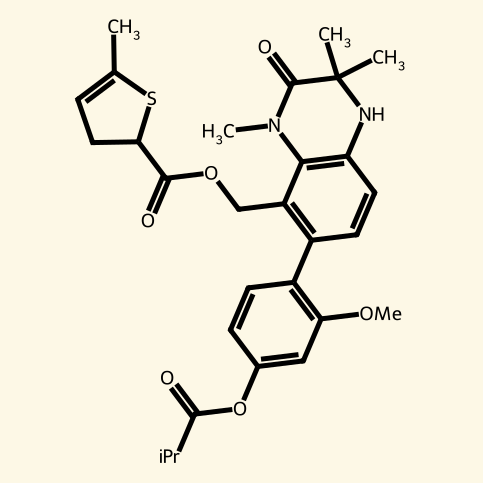 COc1cc(OC(=O)C(C)C)ccc1-c1ccc2c(c1COC(=O)C1CC=C(C)S1)N(C)C(=O)C(C)(C)N2